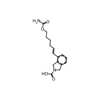 NC(=O)OCCCC/C=C/c1cccc2c1CN(C(=O)O)C2